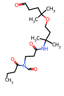 CCCC(=O)N(C=O)CCC(=O)NC(C)(C)CCOC(C)(C)CCC=O